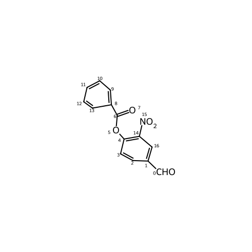 O=Cc1ccc(OC(=O)c2ccccc2)c([N+](=O)[O-])c1